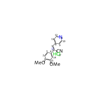 COc1ccc(/C(C#N)=C/c2ccncc2)cc1OC.Cl